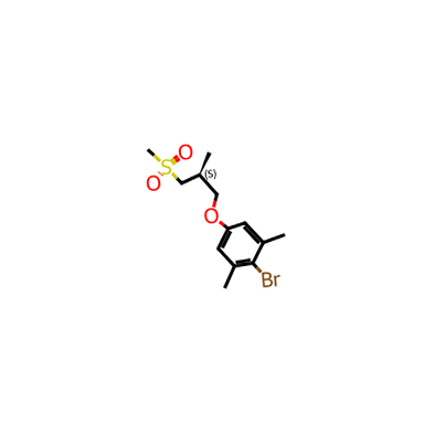 Cc1cc(OC[C@H](C)CS(C)(=O)=O)cc(C)c1Br